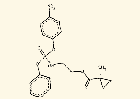 CC1(C(=O)OCCNP(=O)(Oc2ccccc2)Oc2ccc([N+](=O)[O-])cc2)CC1